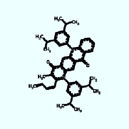 C=C/C=C\c1c(C)c(=O)c2cc3c(cc2n1-c1cc(C(C)C)cc(C(C)C)c1)c(=O)c1ccccc1n3-c1cc(C(C)C)cc(C(C)C)c1